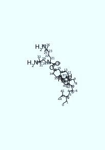 CC[C@H](CC[C@@H](C)[C@H]1CC[C@H]2[C@@H]3CC=C4C[C@@H](OC(=O)N(CCCC(C)(C)N)CCC(C)(C)N)CC[C@]4(C)[C@H]3CC[C@]12C)C(C)C